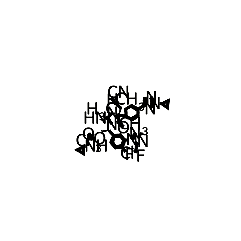 CC(C)(CC#N)C[C@]1(C2(C)C=CC(c3cnn(C4CC4)n3)=CC2)NC(=N)N([C@H](COC(=O)NC2(C(F)(F)F)CC2)c2ccc(Cl)c(-n3ncnc3C(F)F)c2)C1=O